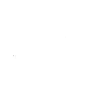 C=C(C)/C=C(\C=C/C)Oc1ccncc1